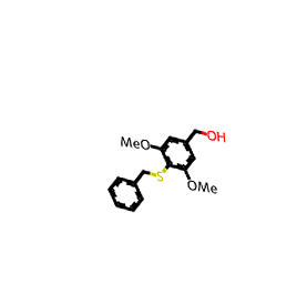 COc1cc(CO)cc(OC)c1SCc1ccccc1